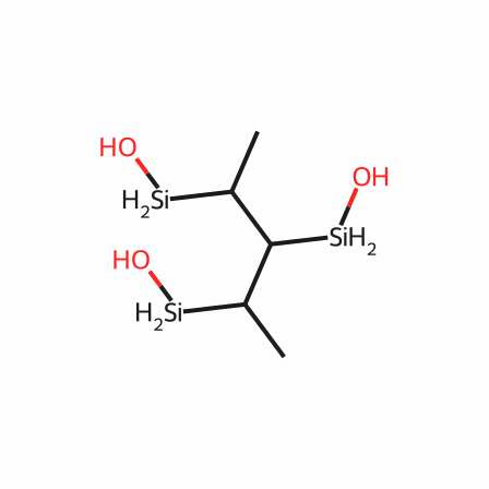 CC([SiH2]O)C([SiH2]O)C(C)[SiH2]O